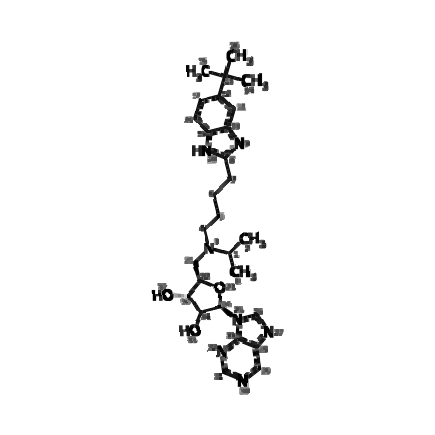 CC(C)N(CCCCc1nc2cc(C(C)(C)C)ccc2[nH]1)C[C@H]1O[C@@H](n2cnc3cncnc32)C(O)[C@@H]1O